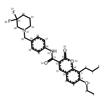 CCCc1c(OCC)ccc2cc(C(=O)Nc3ccc(CN4CCCC(F)(F)C4)cc3)c(=O)oc12